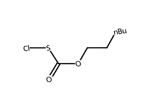 CCCCCCOC(=O)SCl